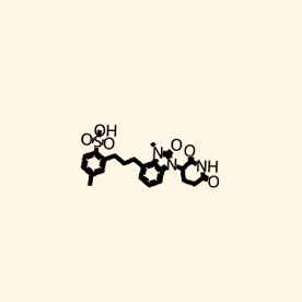 Cc1ccc(S(=O)(=O)O)c(CCCc2cccc3c2n(C)c(=O)n3C2CCC(=O)NC2=O)c1